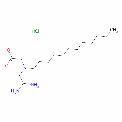 CCCCCCCCCCCCN(CC(=O)O)CC(N)N.Cl